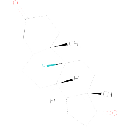 C[C@]12CCC(=O)CC1CC[C@H]1[C@@H]3CCC(=O)[C@@]3(C)CC[C@]12F